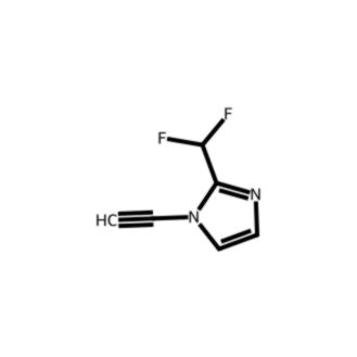 C#Cn1ccnc1C(F)F